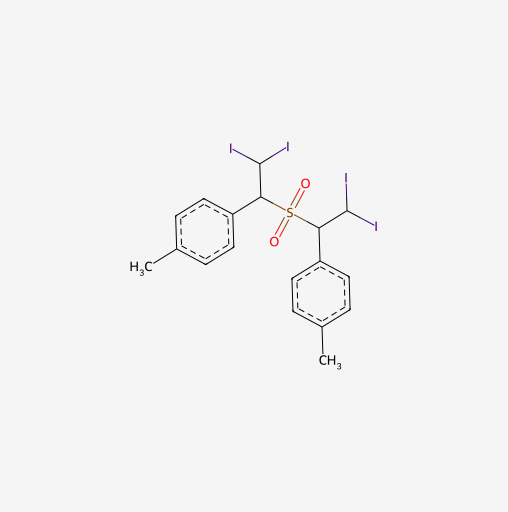 Cc1ccc(C(C(I)I)S(=O)(=O)C(c2ccc(C)cc2)C(I)I)cc1